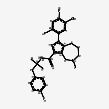 CN1CCCn2c(-c3cc(Cl)c(F)cc3F)nc(C(=O)NC(C)(C)Cc3ccc(F)cc3)c2C1